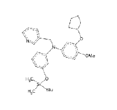 COc1ccc(N(Cc2cccnc2)c2cccc(O[Si](C)(C)C(C)(C)C)c2)cc1OC1CCCC1